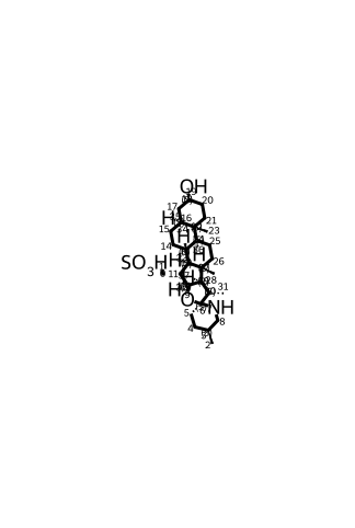 CS(=O)(=O)O.C[C@H]1CC[C@]2(NC1)O[C@H]1C[C@H]3[C@@H]4CC[C@H]5C[C@@H](O)CC[C@]5(C)[C@H]4CC[C@]3(C)[C@H]1[C@@H]2C